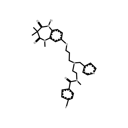 CCN1C(=O)C(C)(C)C(=O)N(C)c2cc(OCCCN(CCN(C)C(=O)c3ccc(F)cc3)Cc3ccncc3)ccc21